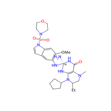 CCC1CN(C)C2=C(N[C@@](N)(Nc3cc4ccn(S(=O)(=O)N5CCOCC5)c4cc3OC)NC2=O)N1C1CCCC1